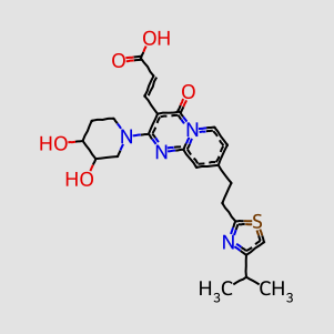 CC(C)c1csc(CCc2ccn3c(=O)c(C=CC(=O)O)c(N4CCC(O)C(O)C4)nc3c2)n1